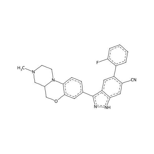 CN1CCN2c3ccc(-c4n[nH]c5cc(C#N)c(-c6ccccc6F)cc45)cc3OCC2C1